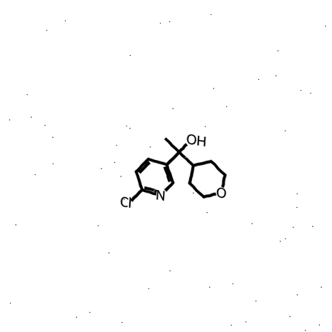 CC(O)(c1ccc(Cl)nc1)C1CCOCC1